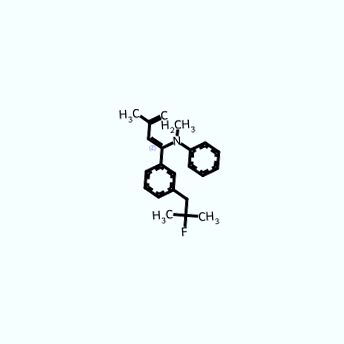 C=C(C)/C=C(/c1cccc(CC(C)(C)F)c1)N(C)c1ccccc1